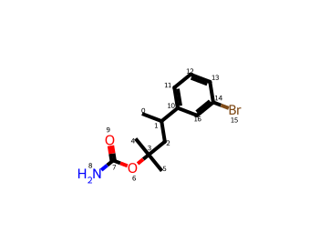 CC(CC(C)(C)OC(N)=O)c1cccc(Br)c1